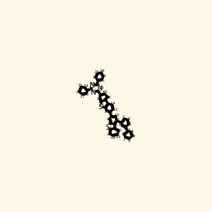 c1ccc(-c2cccc(-c3cc(-c4ccc5c(c4)sc4cc(-c6nc(-c7ccccc7)nc(-c7ccccc7)n6)ccc45)cc4sc5ccccc5c34)c2)cc1